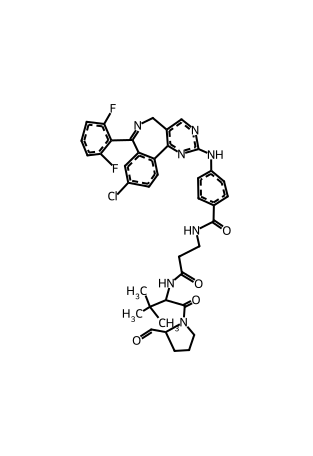 CC(C)(C)C(NC(=O)CCNC(=O)c1ccc(Nc2ncc3c(n2)-c2ccc(Cl)cc2C(c2c(F)cccc2F)=NC3)cc1)C(=O)N1CCCC1C=O